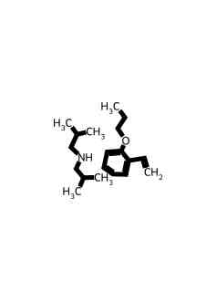 C=Cc1ccccc1OCCC.CC(C)CNCC(C)C